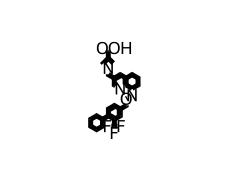 O=C(O)C1CN(Cc2cnc3c(c2)CCC/C3=N/OCc2ccc(C3CCCCC3)c(C(F)(F)F)c2)C1